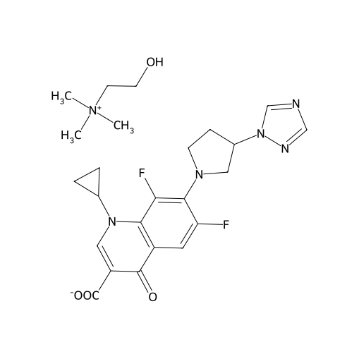 C[N+](C)(C)CCO.O=C([O-])c1cn(C2CC2)c2c(F)c(N3CCC(n4cncn4)C3)c(F)cc2c1=O